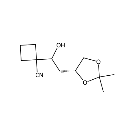 CC1(C)OC[C@@H](CC(O)C2(C#N)CCC2)O1